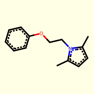 Cc1ccc(C)n1CCOc1ccccc1